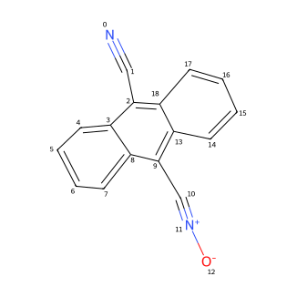 N#Cc1c2ccccc2c(C#[N+][O-])c2ccccc12